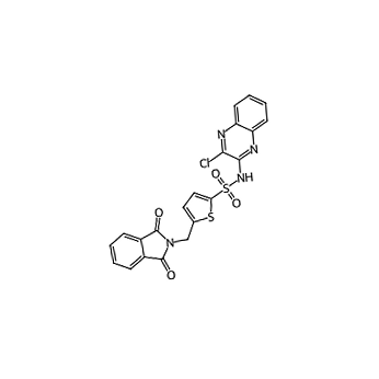 O=C1c2ccccc2C(=O)N1Cc1ccc(S(=O)(=O)Nc2nc3ccccc3nc2Cl)s1